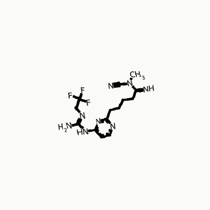 CN(C#N)C(=N)CCCCc1nccc(NC(N)=NCC(F)(F)F)n1